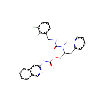 CN(C(=O)NCc1cccc(F)c1Cl)C(COC(=O)Nc1cc2ccccc2cn1)Cc1ccccn1